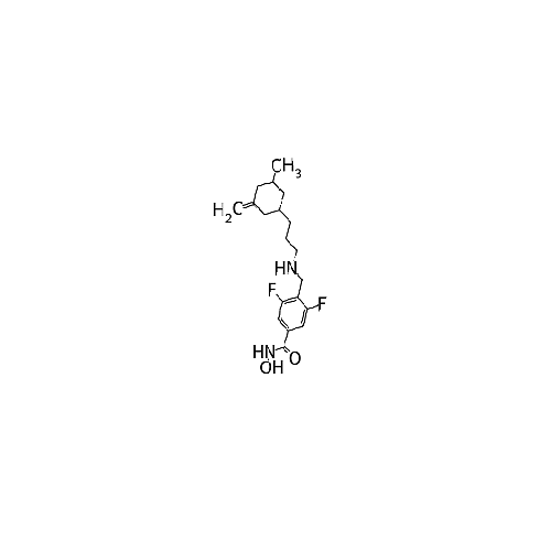 C=C1CC(C)CC(CCCNCc2c(F)cc(C(=O)NO)cc2F)C1